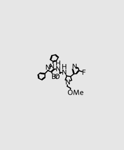 COCCN1CC(NC(=O)Nc2c(Br)c(-c3ccccc3)nn2-c2ccccc2)C(c2cncc(F)c2)C1